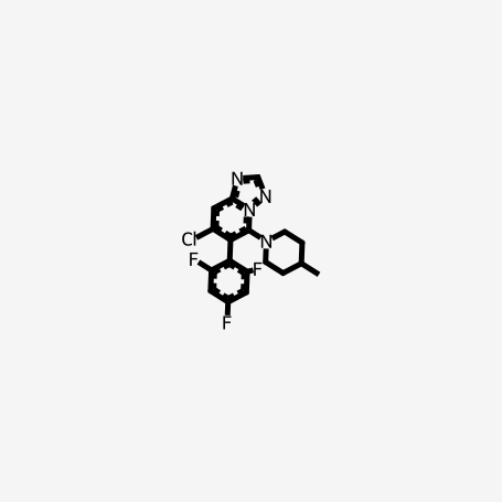 CC1CCN(c2c(-c3c(F)cc(F)cc3F)c(Cl)cc3ncnn23)CC1